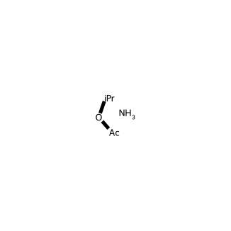 CC(=O)OC(C)C.N